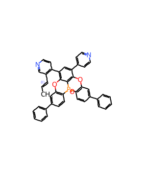 C/C=C/c1cnccc1-c1cc(-c2ccncc2)c2c3c1Oc1cc(-c4ccccc4)ccc1P3(=O)c1ccc(-c3ccccc3)cc1O2